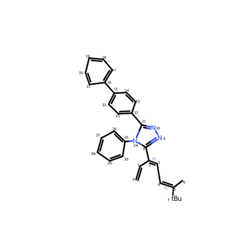 C=C/C(=C\C=C(/C)C(C)(C)C)c1nnc(-c2ccc(-c3ccccc3)cc2)n1-c1ccccc1